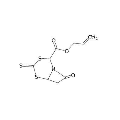 C=CCOC(=O)C1SC(=S)SC2CC(=O)N21